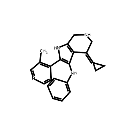 Cc1cnccc1-c1[nH]c2c(c1Nc1ccccc1)C(=C1CC1)CNC2